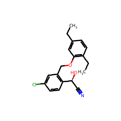 CCc1ccc(CC)c(OCc2cc(Cl)ccc2[C@@H](O)C#N)c1